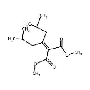 COC(=O)C(C(=O)OC)=C(CC(C)C)CC(C)C